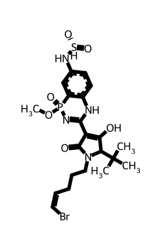 COP1(=O)N=C(C2=C(O)C(C(C)(C)C)N(CCC/C=C\Br)C2=O)Nc2ccc(N[SH](=O)=O)cc21